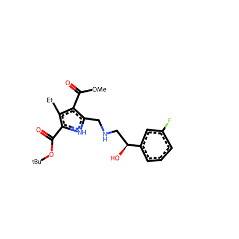 CCc1c(C(=O)OC(C)(C)C)[nH]c(CNC[C@H](O)c2cccc(F)c2)c1C(=O)OC